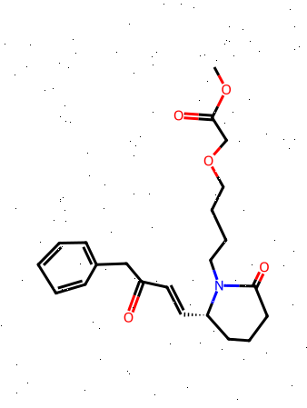 COC(=O)COCCCCN1C(=O)CCC[C@@H]1/C=C/C(=O)Cc1ccccc1